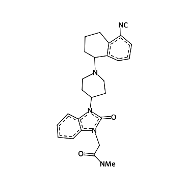 [C-]#[N+]c1cccc2c1CCCC2N1CCC(n2c(=O)n(CC(=O)NC)c3ccccc32)CC1